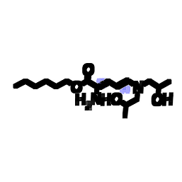 CCCCCCOC(=O)/C(N)=C/C=C/N(CC(C)O)CC(C)O